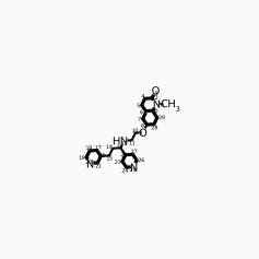 Cn1c(=O)ccc2cc(OCCNC(CCc3cccnc3)c3ccncc3)ccc21